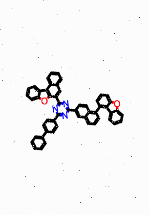 c1ccc(-c2ccc(-c3nc(-c4ccc5c(-c6cccc7oc8ccccc8c67)cccc5c4)nc(-c4cc5ccccc5c5c4oc4ccccc45)n3)cc2)cc1